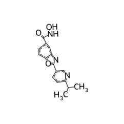 CC(C)c1ccc(-c2nc3cc(C(=O)NO)ccc3o2)cn1